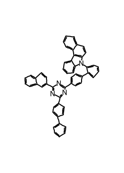 c1ccc(-c2ccc(-c3nc(-c4ccc(-c5ccccc5-n5c6ccccc6c6c7ccccc7ccc65)cc4)nc(-c4ccc5ccccc5c4)n3)cc2)cc1